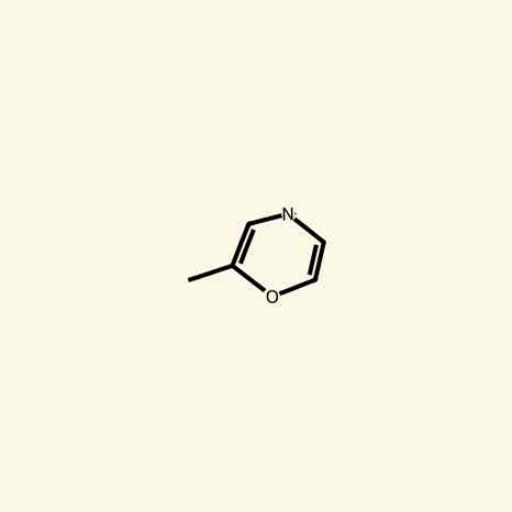 CC1=C[N]C=CO1